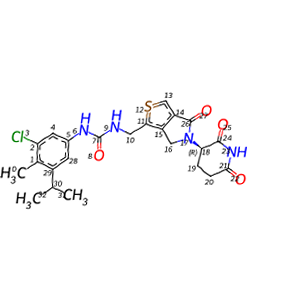 Cc1c(Cl)cc(NC(=O)NCc2scc3c2CN([C@@H]2CCC(=O)NC2=O)C3=O)cc1C(C)C